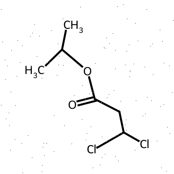 CC(C)OC(=O)CC(Cl)Cl